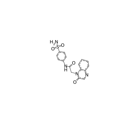 NS(=O)(=O)c1ccc(NC(=O)Cn2c(=O)cnc3ccccc32)cc1